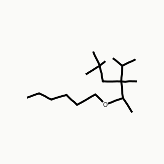 CCCCCCOC(C)C(C)(CC(C)(C)C)C(C)C